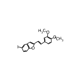 COc1ccc(C=Cc2cc3cc(I)ccc3o2)cc1OC